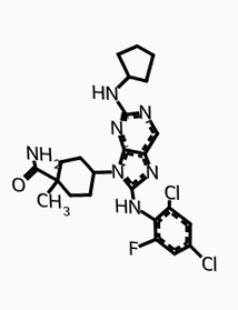 CC1(C(N)=O)CCC(n2c(Nc3c(F)cc(Cl)cc3Cl)nc3cnc(NC4CCCC4)nc32)CC1